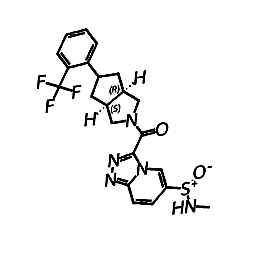 CN[S+]([O-])c1ccc2nnc(C(=O)N3C[C@H]4CC(c5ccccc5C(F)(F)F)C[C@H]4C3)n2c1